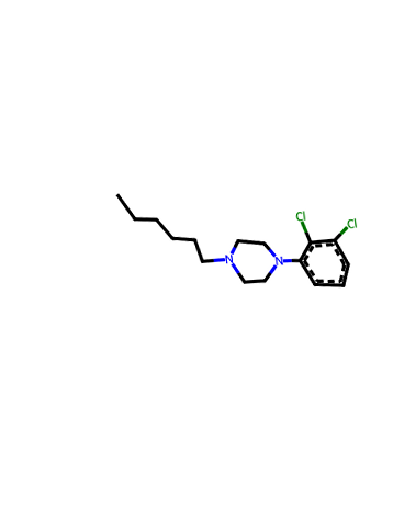 CCCCCCN1CCN(c2cccc(Cl)c2Cl)CC1